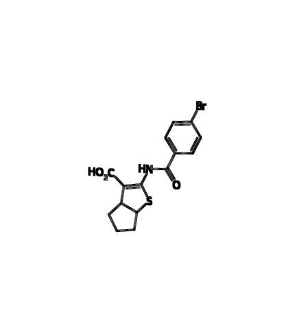 O=C(O)C1=C(NC(=O)c2ccc(Br)cc2)SC2CCCC12